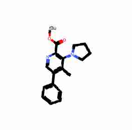 Cc1c(-c2ccccc2)[c]nc(C(=O)OC(C)(C)C)c1N1CCCC1